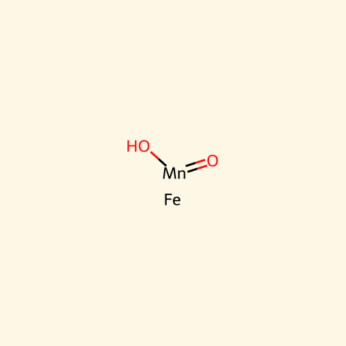 [Fe].[O]=[Mn][OH]